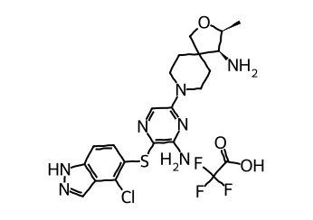 C[C@@H]1OCC2(CCN(c3cnc(Sc4ccc5[nH]ncc5c4Cl)c(N)n3)CC2)[C@@H]1N.O=C(O)C(F)(F)F